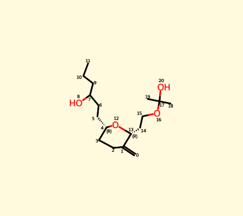 C=C1CC[C@H](CCC(O)CCC)O[C@@H]1CCOC(C)(C)O